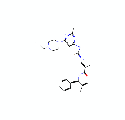 C=CC(/C=C\C)=C(\NC(=O)/C(C)=C/N=C(\S)Nc1cc(N2CCN(CC(C)=O)CC2)nc(C)n1)C(=C)C